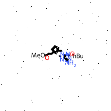 CCCCOc1nc(N)c2ncn(Cc3cccc(CCC(=O)OC)c3)c2n1